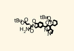 Cn1ccc2c(C3CCCCN3C(=O)OC(C)(C)C)cc(-c3ccc4c(c3)CN([C@@H](CCC(=O)OC(C)(C)C)C(N)=O)C4=O)nc21